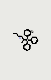 CC/C=C/C(C)[P+](c1ccccc1)(c1ccccc1)c1ccccc1.[Br-]